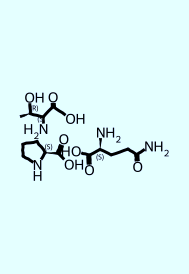 C[C@@H](O)[C@H](N)C(=O)O.NC(=O)CC[C@H](N)C(=O)O.O=C(O)[C@@H]1CCCN1